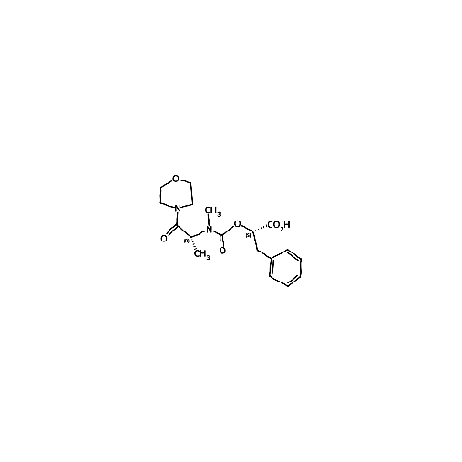 C[C@H](C(=O)N1CCOCC1)N(C)C(=O)O[C@@H](Cc1ccccc1)C(=O)O